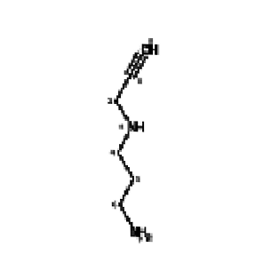 C#CCNCCCN